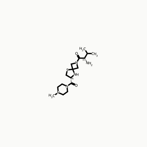 CC(C)[C@H](N)C(=O)N1CC2(C1)N[C@H](C(=O)N1CCN(C)CC1)CS2